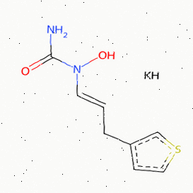 NC(=O)N(O)C=CCc1ccsc1.[KH]